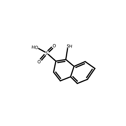 O=S(=O)(O)c1ccc2ccccc2c1S